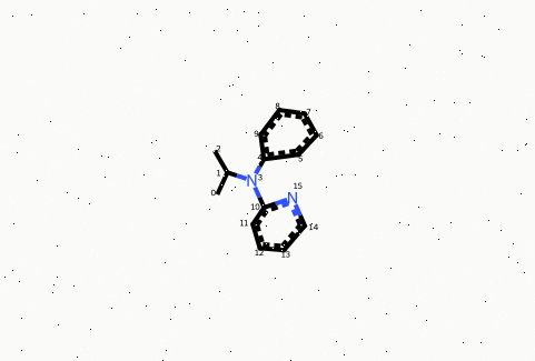 CC(C)N(c1ccccc1)c1ccccn1